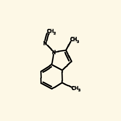 C=NN1C(C)=CC2C1=CC=CC2C